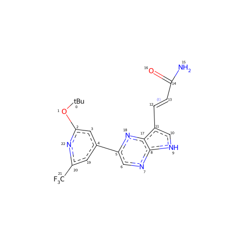 CC(C)(C)Oc1cc(-c2cnc3[nH]cc(/C=C/C(N)=O)c3n2)cc(C(F)(F)F)n1